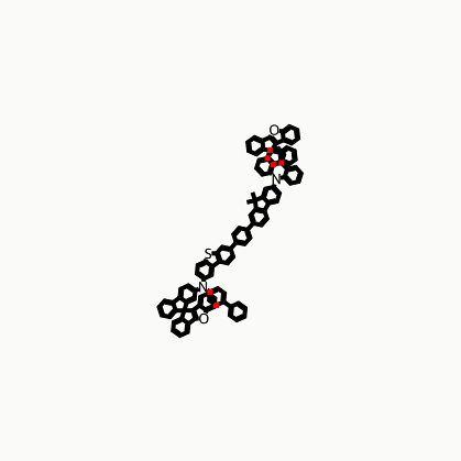 CC1(C)c2cc(-c3ccc(-c4ccc5c(c4)sc4ccc(N(c6ccc(-c7ccccc7)cc6)c6ccc7c(c6)C6(c8ccccc8-7)c7ccccc7-c7oc8ccccc8c76)cc45)cc3)ccc2-c2ccc(N(c3ccccc3-c3ccccc3)c3cccc4c3-c3ccccc3C43c4ccccc4-c4oc5ccccc5c43)cc21